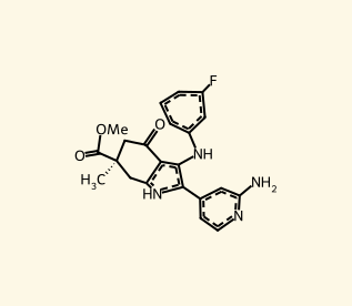 COC(=O)[C@@]1(C)CC(=O)c2c([nH]c(-c3ccnc(N)c3)c2Nc2cccc(F)c2)C1